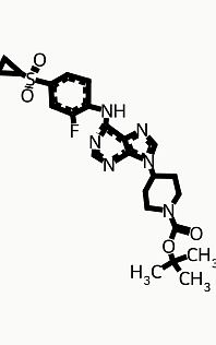 CC(C)(C)OC(=O)N1CCC(n2cnc3c(Nc4ccc(S(=O)(=O)C5CC5)cc4F)ncnc32)CC1